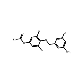 CCC(=O)Oc1cc(Br)c(OCc2cc(N)cc(Cl)c2)c(Br)c1